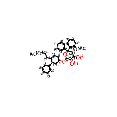 CO[C@@H]1[C@@H](O)[C@@H](O)[C@@H](Oc2ccc(CCNC(C)=O)c(-c3cccc(F)c3)c2)OC1(c1ccccc1)c1ccccc1